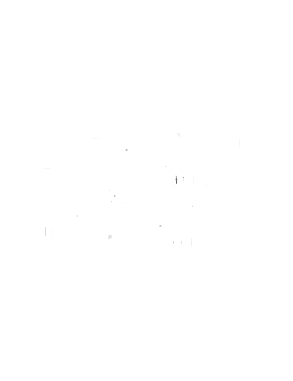 CO[C@@H]1Cc2c(O)cc(O)cc2O[C@@H]1c1cc(O)c(O)c(O)c1-c1c([C@H]2Oc3cc(O)cc(O)c3C[C@H]2C=O)cc(O)c(O)c1O